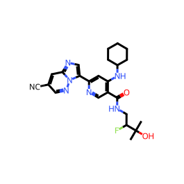 CC(C)(O)C(F)CNC(=O)c1cnc(-c2cnc3cc(C#N)cnn23)cc1NC1CCCCC1